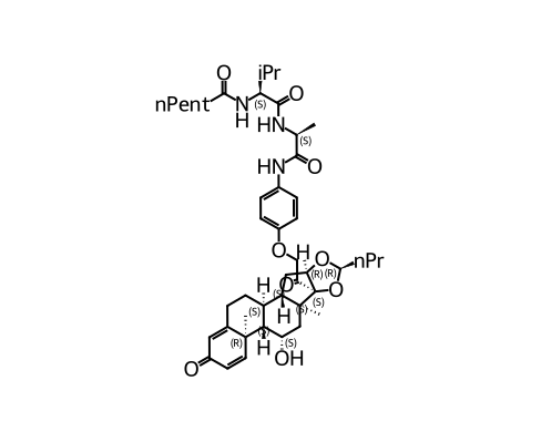 CCCCCC(=O)N[C@H](C(=O)N[C@@H](C)C(=O)Nc1ccc(OCC(=O)[C@@]23O[C@H](CCC)O[C@@H]2C[C@H]2[C@@H]4CCC5=CC(=O)C=C[C@]5(C)[C@H]4[C@@H](O)C[C@@]23C)cc1)C(C)C